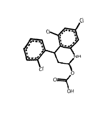 O=C(O)OC1CC(c2ccccc2Cl)c2c(Cl)cc(Cl)cc2N1